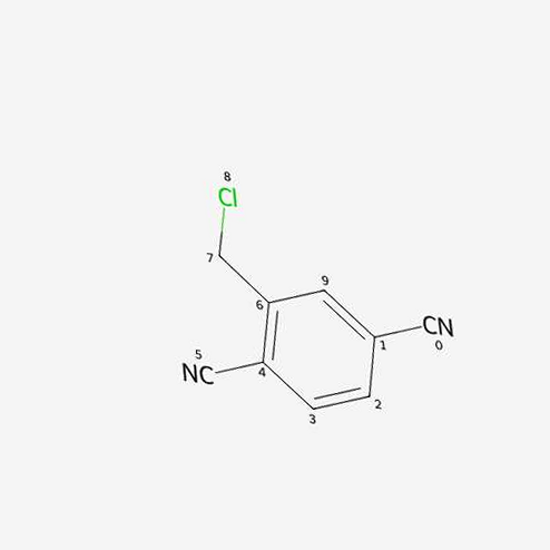 N#Cc1ccc(C#N)c(CCl)c1